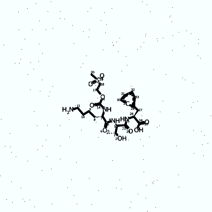 C[C@@H](O)[C@H](NC(=O)[C@H](CCCCN)NC(=O)OCCS(C)(=O)=O)C(=O)N[C@@H](Cc1ccccc1)C(=O)O